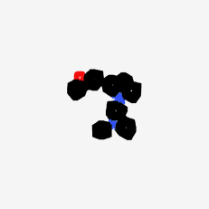 c1ccc(-n2c3ccccc3c3cc(-n4c5cccc6ccc7cc(-c8ccc9oc%10ccccc%10c9c8)cc4c7c65)ccc32)cc1